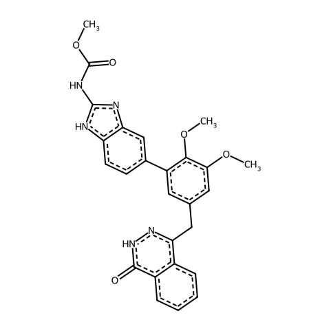 COC(=O)Nc1nc2cc(-c3cc(Cc4n[nH]c(=O)c5ccccc45)cc(OC)c3OC)ccc2[nH]1